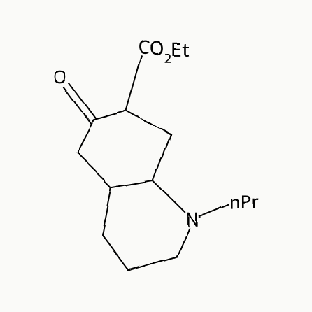 CCCN1CCCC2CC(=O)C(C(=O)OCC)CC21